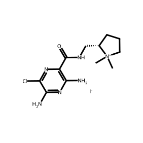 C[N+]1(C)CCC[C@H]1CNC(=O)c1nc(Cl)c(N)nc1N.[I-]